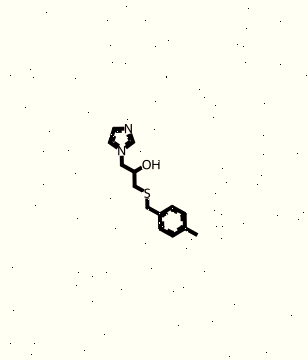 Cc1ccc(CSCC(O)Cn2ccnc2)cc1